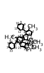 Cc1ccc2c(c1-c1ccccc1)C=C(C(C)C)[CH]2[Zr]([Cl])([Cl])([CH]1C(C(C)C)=Cc2c1ccc(C)c2-c1ccccc1)[SiH](C)C